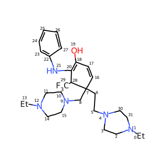 CCN1CCN(CCC2(CN3CCN(CC)CC3)C=CC(O)=C(Nc3ccccc3)C2C(F)(F)F)CC1